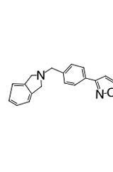 c1ccc2c(c1)CN(Cc1ccc(-c3ccon3)cc1)C2